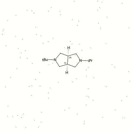 CC(C)N1C[C@@H]2CN(C(C)(C)C)C[C@@H]2C1